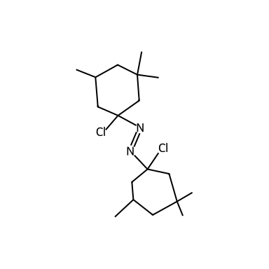 CC1CC(C)(C)CC(Cl)(N=NC2(Cl)CC(C)CC(C)(C)C2)C1